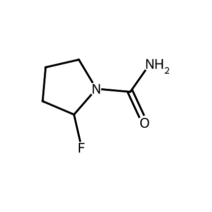 NC(=O)N1CCCC1F